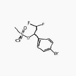 CS(=O)(=O)OC(c1ccc(Br)cc1)C(F)F